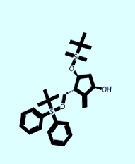 C=C1[C@H](O)C[C@H](O[Si](C)(C)C(C)(C)C)[C@H]1CO[Si](c1ccccc1)(c1ccccc1)C(C)(C)C